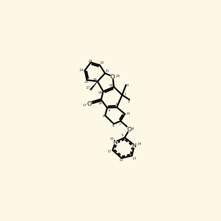 CC1(C)C2=C(CCC(Oc3ncccn3)=C2)C(=O)C2=C1OC1C=CC=C[C@@]21C